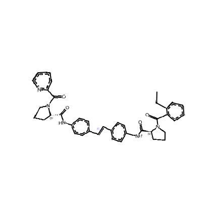 CCc1ccccc1C(=O)N1CCC[C@H]1C(=O)Nc1ccc(/C=C/c2ccc(NC(=O)[C@@H]3CCCN3C(=O)c3ccccn3)cc2)cc1